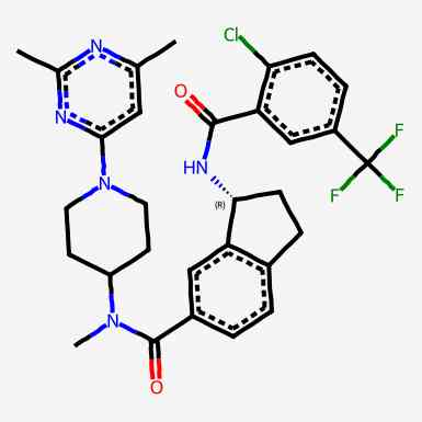 Cc1cc(N2CCC(N(C)C(=O)c3ccc4c(c3)[C@H](NC(=O)c3cc(C(F)(F)F)ccc3Cl)CC4)CC2)nc(C)n1